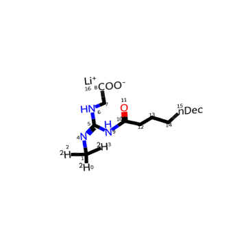 [2H]C([2H])([2H])N=C(NCC(=O)[O-])NC(=O)CCCCCCCCCCCCC.[Li+]